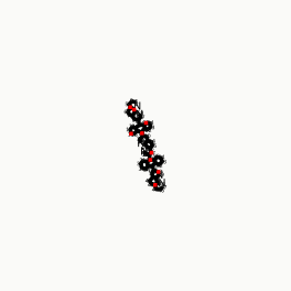 c1cnc2c(c1)ccc1cc(-c3c4ccccc4c(-c4cnc5c(ccc6cc(-c7c8ccccc8c(-c8cnc9c(ccc%10cccnc%109)c8)c8ccccc78)cnc65)c4)c4ccccc34)cnc12